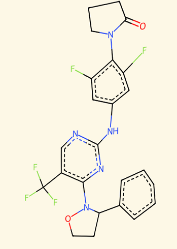 O=C1CCCN1c1c(F)cc(Nc2ncc(C(F)(F)F)c(N3OCCC3c3ccccc3)n2)cc1F